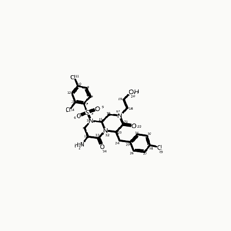 NC1CN(S(=O)(=O)c2ccc(Cl)cc2Cl)C2CN(CCO)C(=O)C(Cc3ccc(Cl)cc3)N2C1=O